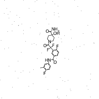 Cc1cc(NC(=O)c2ccc(F)c(C(F)(F)C(=O)N3CCC(O)(C(N)=O)CC3)c2)ccc1F